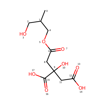 CC(CO)COC(=O)CC(O)(CC(=O)O)C(=O)O